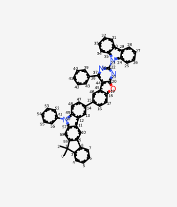 CC1(C)c2ccccc2-c2cc3c4cc(-c5ccc6oc7nc(-n8c9ccccc9c9ccccc98)nc(-c8ccccc8)c7c6c5)ccc4n(-c4ccccc4)c3cc21